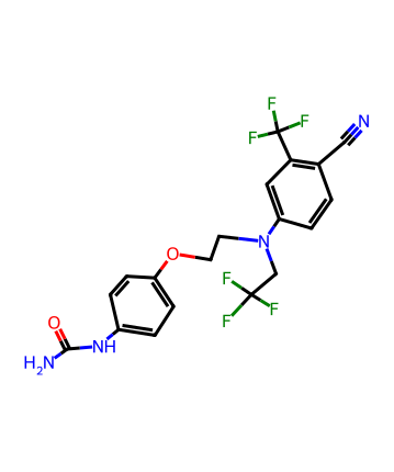 N#Cc1ccc(N(CCOc2ccc(NC(N)=O)cc2)CC(F)(F)F)cc1C(F)(F)F